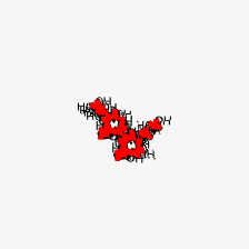 O=C(CO)N(CO)CO.O=C(CO)N(CO)CO.O=C(CO)N(CO)CO.O=C(CO)N(CO)CO.O=C(O)c1c2nc(c(C(=O)O)c3cc(-c4ccccc4)c([nH]3)c(C(=O)O)c3nc(c(C(=O)O)c4ccc1[nH]4)C=C3)C=C2.O=C(O)c1c2nc(c(C(=O)O)c3cc(-c4ccccc4)c([nH]3)c(C(=O)O)c3nc(c(C(=O)O)c4ccc1[nH]4)C=C3)C=C2